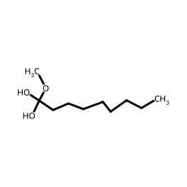 CCCCCCCCC(O)(O)OC